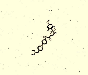 CCN(CC)CC1CCN([C@H]2CC[C@H](NC(=O)CCN(C)S(=O)(=O)c3c(C)cc(OC)cc3C)CC2)CC1